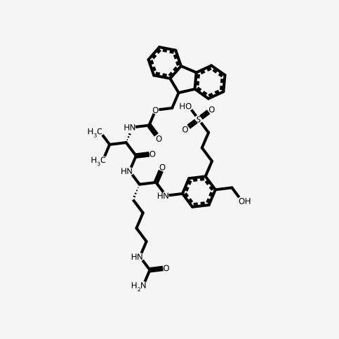 CC(C)[C@H](NC(=O)OCC1c2ccccc2-c2ccccc21)C(=O)N[C@@H](CCCCNC(N)=O)C(=O)Nc1ccc(CO)c(CCCS(=O)(=O)O)c1